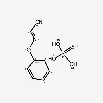 N#CC=NOc1ccccc1.OP(O)(O)=S